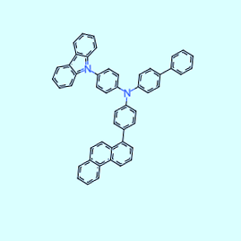 c1ccc(-c2ccc(N(c3ccc(-c4cccc5c4ccc4ccccc45)cc3)c3ccc(-n4c5ccccc5c5ccccc54)cc3)cc2)cc1